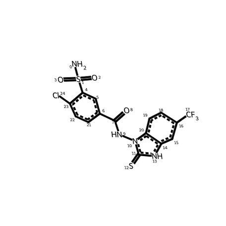 NS(=O)(=O)c1cc(C(=O)Nn2c(=S)[nH]c3cc(C(F)(F)F)ccc32)ccc1Cl